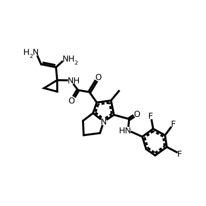 Cc1c(C(=O)C(=O)NC2(/C(N)=C/N)CC2)c2n(c1C(=O)Nc1ccc(F)c(F)c1F)CCC2